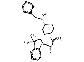 CN(Cc1ccccc1)[C@H]1CC[C@H](N(C)C(=O)N2CC(C)(C)c3ncccc32)CC1